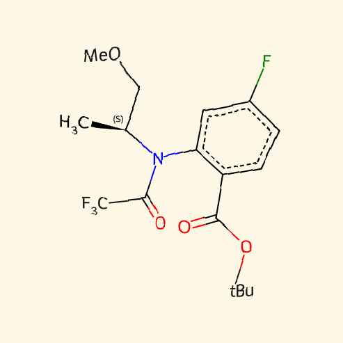 COC[C@H](C)N(C(=O)C(F)(F)F)c1cc(F)ccc1C(=O)OC(C)(C)C